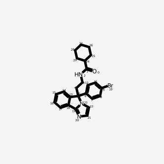 O=C(NCCC1(c2ccc(Br)cc2)c2ccccc2-c2nccn21)C1CCCCC1